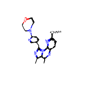 COc1ccc2nc(C)c3c(C)nc(-c4ccc(N5CCOCC5)nc4)n3c2n1